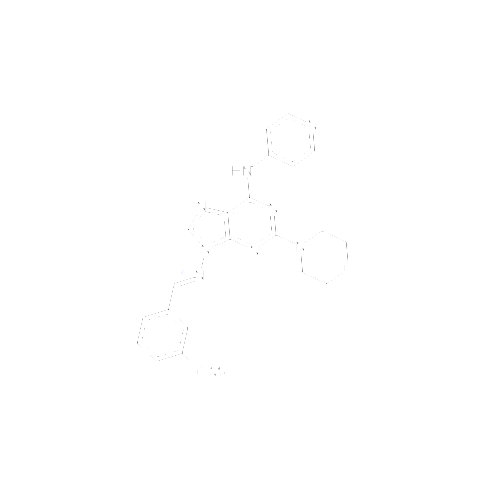 COc1cccc(/C=N/n2cnc3c(Nc4ccncc4)nc(N4CCOCC4)nc32)c1